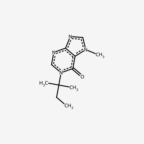 CCC(C)(C)n1cnc2ncn(C)c2c1=O